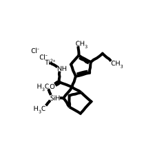 CCC1=C(C)CC(C2(C(=O)[NH][Ti+2])C3CCC(C3)C2[SiH](C)C)=C1.[Cl-].[Cl-]